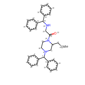 COCC1CN(C(c2ccccc2)c2ccccc2)CCN1C(=O)CNC(c1ccccc1)c1ccccc1